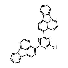 Clc1nc(-c2ccc3c4c(cccc24)-c2ccccc2-3)nc(-c2ccc3c4c(cccc24)-c2ccccc2-3)n1